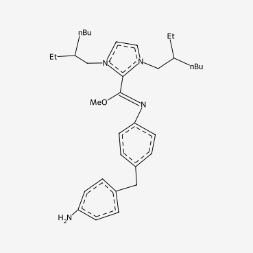 CCCCC(CC)Cn1cc[n+](CC(CC)CCCC)c1/C(=N/c1ccc(Cc2ccc(N)cc2)cc1)OC